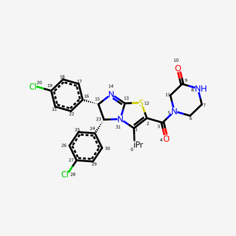 CC(C)C1=C(C(=O)N2CCNC(=O)C2)SC2=N[C@@H](c3ccc(Cl)cc3)[C@@H](c3ccc(Cl)cc3)N21